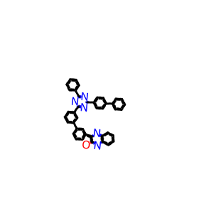 c1ccc(-c2ccc(-c3nc(-c4ccccc4)nc(-c4cccc(-c5ccc6oc7nc8ccccc8nc7c6c5)c4)n3)cc2)cc1